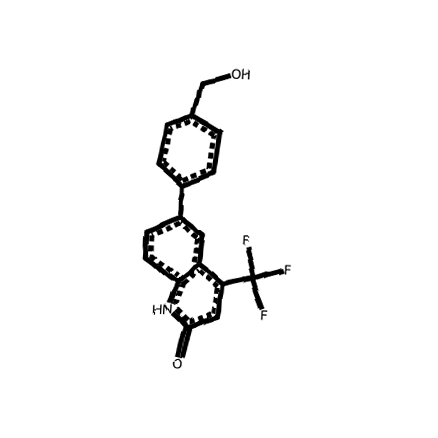 O=c1cc(C(F)(F)F)c2cc(-c3ccc(CO)cc3)ccc2[nH]1